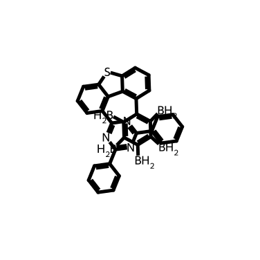 Bc1c(B)c(B)c(-c2cccc3sc4cccc(-c5nc(-c6ccccc6)nc(-c6ccccc6)n5)c4c23)c(B)c1B